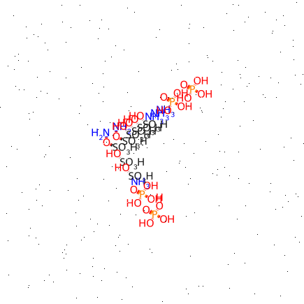 N.N.N.N.NOS(=O)(=O)O.NOS(=O)(=O)O.O=P(O)(O)O.O=P(O)(O)O.O=P(O)(O)O.O=P(O)(O)O.O=S(=O)(O)O.O=S(=O)(O)O.O=S(=O)(O)O.O=S(=O)(O)O.O=S(=O)(O)O.O=S(=O)(O)O